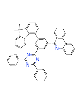 CC1(C)c2ccccc2-c2c(-c3cc(-c4nc(-c5ccccc5)nc(-c5ccccc5)n4)cc(-c4nc5ccccc5c5ccccc45)c3)cccc21